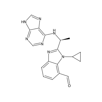 C[C@H](Nc1ncnc2[nH]cnc12)c1nc2cccc(C=O)c2n1C1CC1